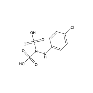 O=S(=O)(O)N(Nc1ccc(Cl)cc1)S(=O)(=O)O